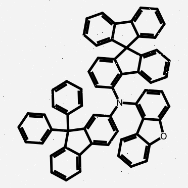 c1ccc(C2(c3ccccc3)c3ccccc3-c3ccc(N(c4cccc5c4-c4ccccc4C54c5ccccc5-c5ccccc54)c4cccc5oc6ccccc6c45)cc32)cc1